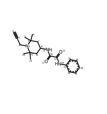 C#CCN1C(C)(C)CC(NC(=O)C(=O)Nc2ccccc2)CC1(C)C